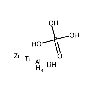 O=P(O)(O)O.[AlH3].[LiH].[Ti].[Zr]